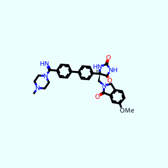 COc1ccc2c(c1)C(=O)N(C[C@@]1(c3ccc(-c4ccc(C(=N)N5CCN(C)CC5)cc4)cc3)NC(=O)NC1=O)C2